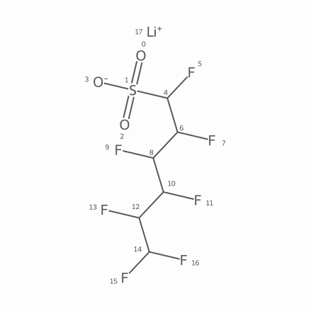 O=S(=O)([O-])C(F)C(F)C(F)C(F)C(F)C(F)F.[Li+]